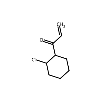 C=CC(=O)C1CCCCC1Cl